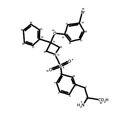 NC(Cc1cccc(S(=O)(=O)N2CC(Oc3cccc(Br)c3)(c3ccccc3)C2)c1)C(=O)O